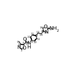 Cc1ncoc1C(=O)Nc1ccc(CC[C@H]2COC(N)=N2)cc1